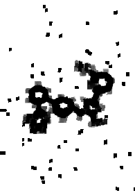 CCCCc1nc(-c2cccc(C)n2)cn1Cc1ccc(-c2ccccc2-c2nnn[nH]2)cc1